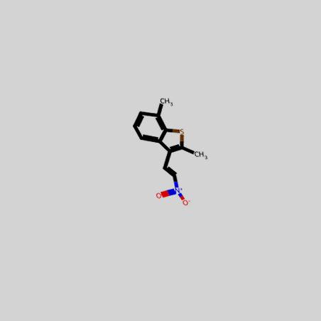 Cc1sc2c(C)cccc2c1C=C[N+](=O)[O-]